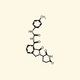 Cc1ccc(NC(=O)NC(=O)c2cccc3c2C(=O)N(C2CCC(=O)NC2=O)C3)cc1